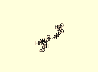 O=C1CC[C@H](N2Cc3cc(N4CCN(CCCCCC(=O)N5CCC(Nc6ncnc7[nH]cc(C(=O)c8ccc(Oc9ccccc9)cc8Cl)c67)CC5)CC4)ccc3C2=O)C(=O)N1